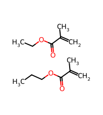 C=C(C)C(=O)OCC.C=C(C)C(=O)OCCC